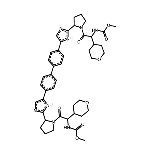 COC(=O)NC(C(=O)N1CCCC1c1ncc(-c2ccc(-c3ccc(-c4cnc(C5CCCN5C(=O)C(NC(=O)OC)C5CCOCC5)[nH]4)cc3)cc2)[nH]1)C1CCOCC1